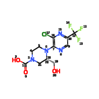 O=C(O)N1CCN(c2ncc(C(F)(F)F)nc2Cl)[C@H](CO)C1